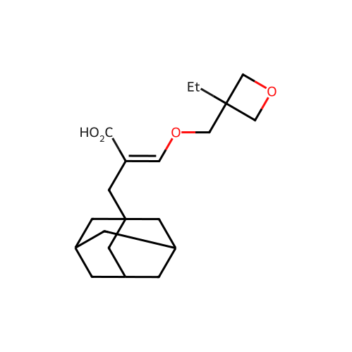 CCC1(COC=C(CC23CC4CC(CC(C4)C2)C3)C(=O)O)COC1